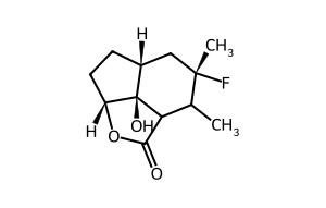 CC1C2C(=O)O[C@@H]3CC[C@H](C[C@]1(C)F)[C@]23O